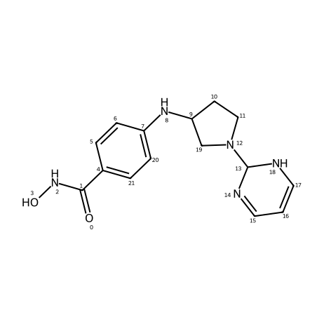 O=C(NO)c1ccc(NC2CCN(C3N=CC=CN3)C2)cc1